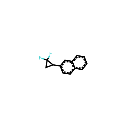 FC1(F)CC1c1ccc2ccccc2c1